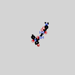 CCN(CC)c1ccc2cc(C(=O)NCCCCNC(=O)Cc3c4c(n(C(=O)c5ccc(C)cc5)c3C)CCC(OC)=C4)c(=O)oc2c1